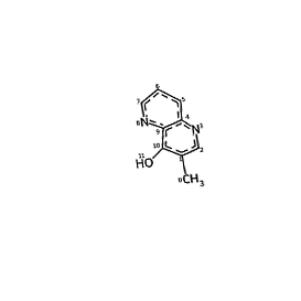 Cc1cnc2cccnc2c1O